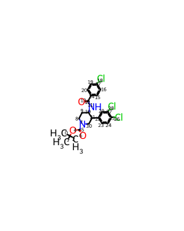 CC(C)(C)OC(=O)N1CCC(NC(=O)c2ccc(Cl)cc2)C(c2ccc(Cl)c(Cl)c2)C1